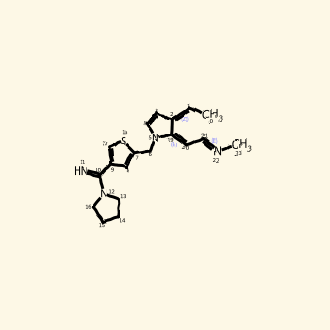 C/C=c1/ccn(Cc2cc(C(=N)N3CCCC3)cs2)/c1=C/C=N/C